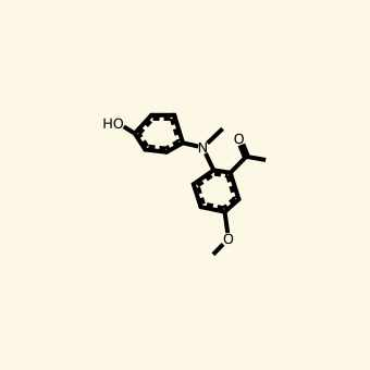 COc1ccc(N(C)c2ccc(O)cc2)c(C(C)=O)c1